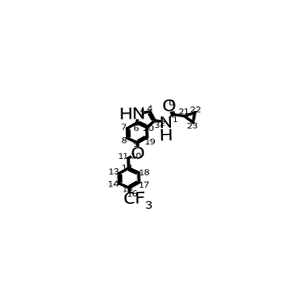 O=C(Nc1c[nH]c2ccc(OCc3ccc(C(F)(F)F)cc3)cc12)C1CC1